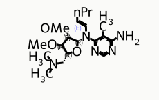 CCC/C=C/N(c1ncnc(N)c1C)[C@@H]1O[C@H](CN(C)C)[C@@H](OC)[C@H]1OC